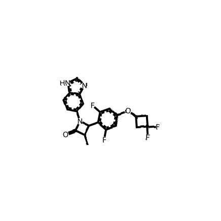 CC1C(=O)N(c2ccc3[nH]cnc3c2)C1c1c(F)cc(OC2CC(F)(F)C2)cc1F